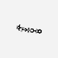 Cc1noc(C)c1NC(=O)N1CC(S(=O)(=O)N2CCC(c3nc4ccccc4s3)CC2)C1